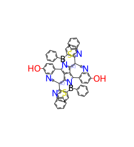 N#C/C(c1nc2ccccc2s1)=c1\c2c(-c3ccc(O)cc3)n(B(c3ccccc3)c3ccccc3)/c(=C(/C#N)c3nc4ccccc4s3)c2c(-c2ccc(O)cc2)n1B(c1ccccc1)c1ccccc1